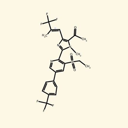 CCS(=O)(=O)c1cc(-c2ccc(C(F)(F)F)cc2)cnc1-c1nc(/C=C(\C)C(F)(F)F)c(C(C)=O)n1C